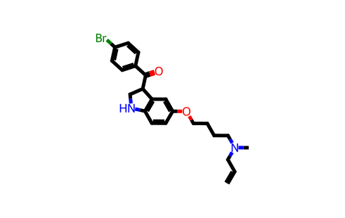 C=CCN(C)CCCCOc1ccc2c(c1)C(C(=O)c1ccc(Br)cc1)CN2